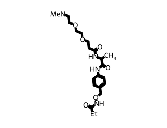 CCC(=O)NOCc1ccc(NC(=O)C(C)NC(=O)CCOCCOCCNC)cc1